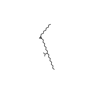 CCCCCCCCCC(CCCCCCCC1=C(CCCCCCCC)C1)N(C)C